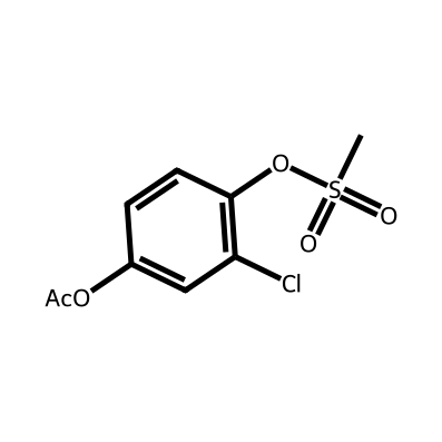 CC(=O)Oc1ccc(OS(C)(=O)=O)c(Cl)c1